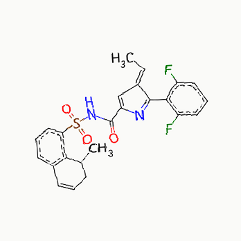 C/C=C1\C=C(C(=O)NS(=O)(=O)c2cccc3c2C(C)CC=C3)N=C1c1c(F)cccc1F